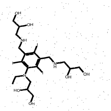 CCN(CC(O)CO)c1c(I)c(CNCC(O)CO)c(I)c(CNCC(O)CO)c1I